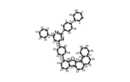 c1ccc(-c2ccc(-c3nc(-c4ccccc4)cc(-c4ccc(-c5cccc6c5oc5c6ccc6ccc7ccccc7c65)cc4)n3)cc2)cc1